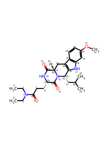 CCN(CC)C(=O)CC[C@@H]1NC(=O)[C@@H]2Cc3c([nH]c4cc(OC)ccc34)[C@H](CC(C)C)N2C1=O